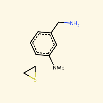 C1CS1.CNc1cccc(CN)c1